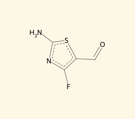 Nc1nc(F)c(C=O)s1